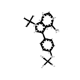 CC(C)(C)n1nc(-c2ccc(OC(F)(F)F)cc2)c2c(N)ncnc21